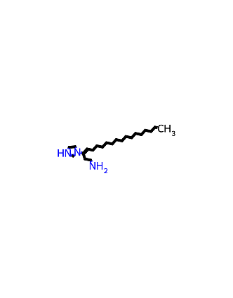 CCCCCCCCCCCCCCCC=C(CCN)N1CCNC1